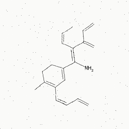 C=C/C=C\C1=C(C)CCC(/C(N)=C(\C=C/C)C(=C)C=C)=C1